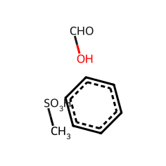 CS(=O)(=O)O.O=CO.c1ccccc1